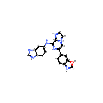 C1=NC2CC=C(Nc3nc(-c4ccc5ncoc5c4)cn4ccnc34)C=C2N1